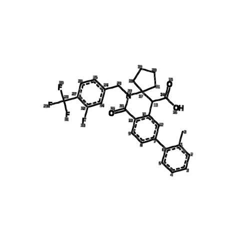 Cc1ccccc1-c1ccc2c(c1)C(C(=O)O)C1(CCCC1)N(Cc1ccc(C(F)(F)F)c(F)c1)C2=O